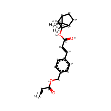 C=CC(=O)OCc1ccc(/C=C/C(=O)OC2CC3CCC2C3(C)C)cc1